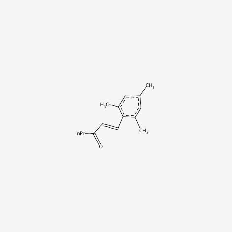 CCCC(=O)C=Cc1c(C)cc(C)cc1C